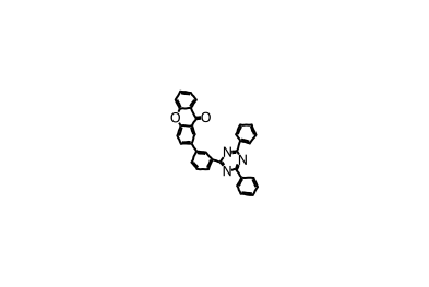 O=c1c2ccccc2oc2ccc(-c3cccc(-c4nc(-c5ccccc5)nc(-c5ccccc5)n4)c3)cc12